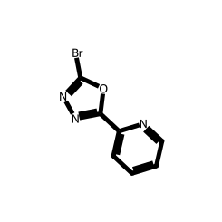 Brc1nnc(-c2ccccn2)o1